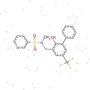 CN(Cc1cc(C(F)(F)F)cc(-c2ccccc2)c1O)S(=O)(=O)c1cccnc1